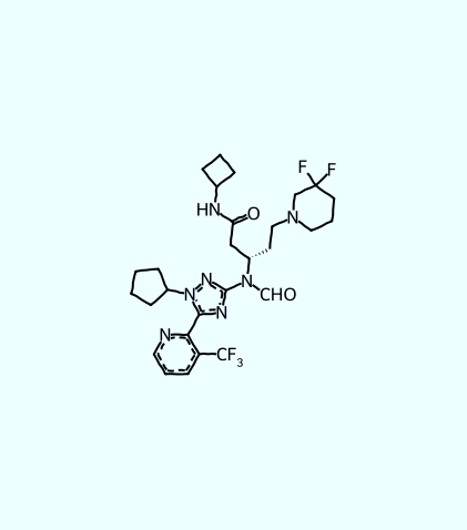 O=CN(c1nc(-c2ncccc2C(F)(F)F)n(C2CCCC2)n1)[C@@H](CCN1CCCC(F)(F)C1)CC(=O)NC1CCC1